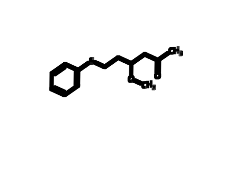 COC(CCSc1ccccc1)CC(C)=O